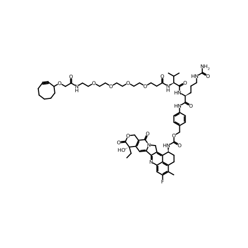 CC[C@@]1(O)C(=O)OCc2c1cc1n(c2=O)Cc2c-1nc1cc(F)c(C)c3c1c2[C@@H](NC(=O)OCc1ccc(NC(=O)[C@H](CCCNC(N)=O)NC(=O)[C@@H](NC(=O)CCOCCOCCOCCOCCNC(=O)COC2C#CCCCCC2)C(C)C)cc1)CC3